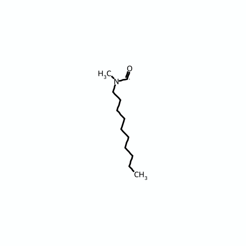 CCCCCCCCCCN(C)[C]=O